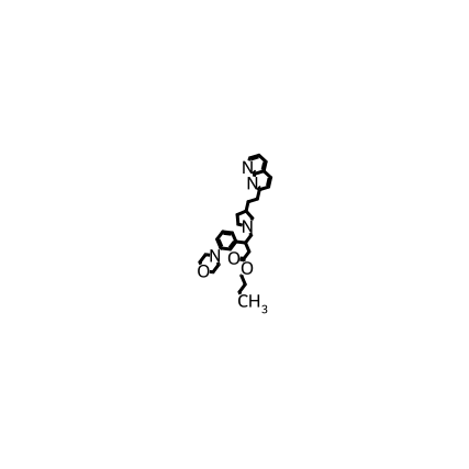 CCCCOC(=O)CC(CN1CCC(CCc2ccc3cccnc3n2)C1)c1cccc(N2CCOCC2)c1